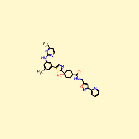 Cc1cc(Nc2nccc(C(F)(F)F)n2)cc(-c2cnc([C@]3(O)CC[C@@H](C(=O)NCc4cc(-c5ccccn5)no4)CC3)s2)c1